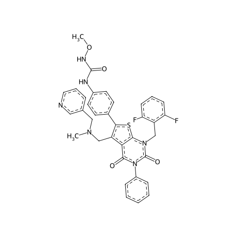 CONC(=O)Nc1ccc(-c2sc3c(c2CN(C)Cc2cccnc2)c(=O)n(-c2ccccc2)c(=O)n3Cc2c(F)cccc2F)cc1